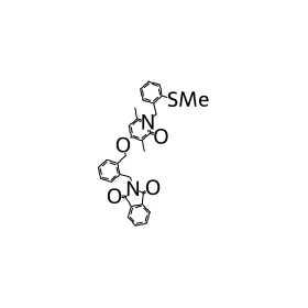 CSc1ccccc1Cn1c(C)cc(OCc2ccccc2CN2C(=O)c3ccccc3C2=O)c(C)c1=O